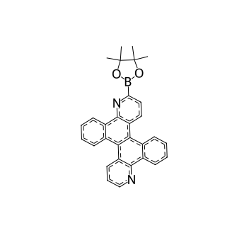 CC1(C)OB(c2ccc3c(n2)c2ccccc2c2c4cccnc4c4ccccc4c32)OC1(C)C